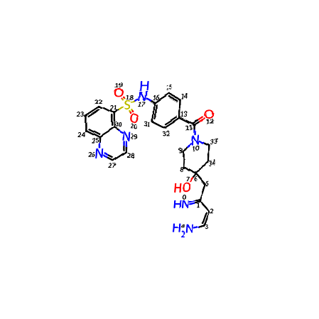 N=C(/C=C\N)CC1(O)CCN(C(=O)c2ccc(NS(=O)(=O)c3cccc4nccnc34)cc2)CC1